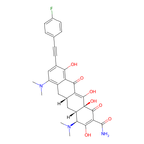 CN(C)c1cc(C#Cc2ccc(F)cc2)c(O)c2c1C[C@H]1C[C@H]3[C@H](N(C)C)C(O)=C(C(N)=O)C(=O)[C@@]3(O)C(O)=C1C2=O